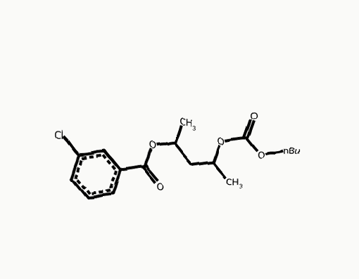 CCCCOC(=O)OC(C)CC(C)OC(=O)c1cccc(Cl)c1